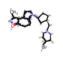 Cc1noc2ccc3c(ccn3C3CC[C@@H](CN4CCC(C(C)(C)C)CC4)C3)c12